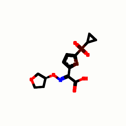 O=C(O)/C(=N/O[C@@H]1CCOC1)c1ccc(S(=O)(=O)C2CC2)s1